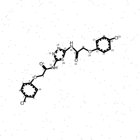 O=C(COc1ccc(Cl)cc1)Nc1nnc(NC(=O)COc2ccc(Cl)cc2)s1